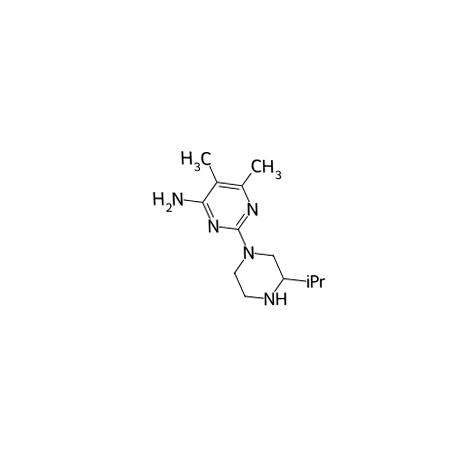 Cc1nc(N2CCNC(C(C)C)C2)nc(N)c1C